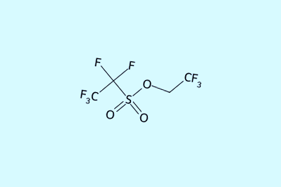 O=S(=O)(OCC(F)(F)F)C(F)(F)C(F)(F)F